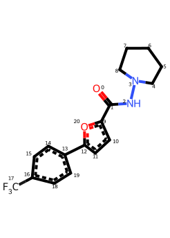 O=C(NN1CCCCC1)c1ccc(-c2ccc(C(F)(F)F)cc2)o1